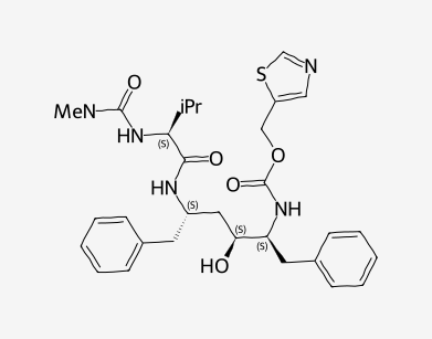 CNC(=O)N[C@H](C(=O)N[C@@H](Cc1ccccc1)C[C@H](O)[C@H](Cc1ccccc1)NC(=O)OCc1cncs1)C(C)C